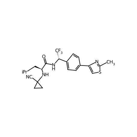 Cc1nc(-c2ccc([C@H](NC(=O)[C@H](CC(C)C)NC3(C#N)CC3)C(F)(F)F)cc2)cs1